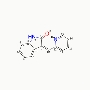 O=C1Nc2ccccc2C1=Cc1ccccn1